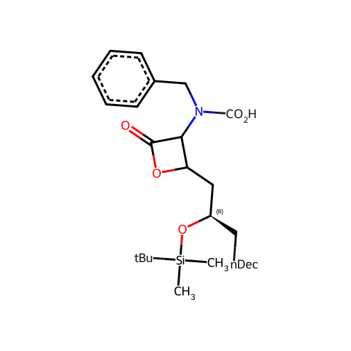 CCCCCCCCCCC[C@H](CC1OC(=O)C1N(Cc1ccccc1)C(=O)O)O[Si](C)(C)C(C)(C)C